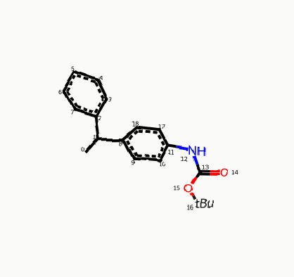 CC(c1ccccc1)c1ccc(NC(=O)OC(C)(C)C)cc1